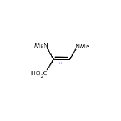 CN/C=C(\NC)C(=O)O